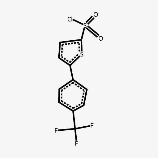 O=S(=O)(Cl)c1ccc(-c2ccc(C(F)(F)F)cc2)s1